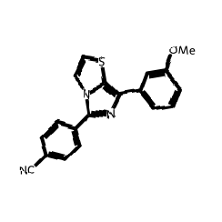 COc1cccc(-c2nc(-c3ccc(C#N)cc3)n3ccsc23)c1